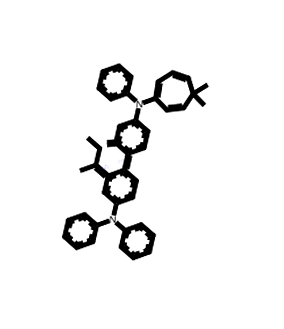 C=c1cc(N(C2=CC=CC(C)(C)C=C2)c2ccccc2)cc/c1=c1\ccc(N(c2ccccc2)c2ccccc2)c\c1=C(/C)CC